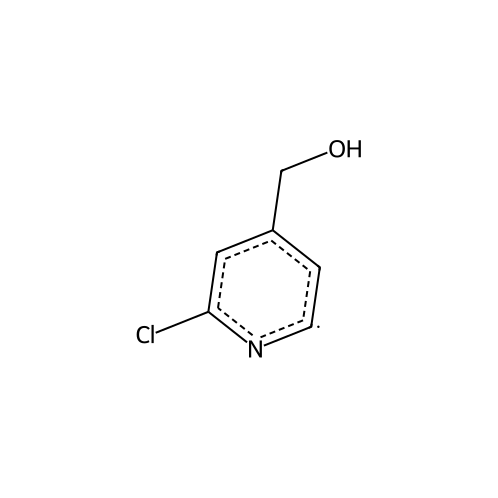 OCc1c[c]nc(Cl)c1